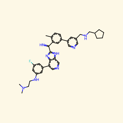 Cc1ccc(-c2cncc(CNCC3CCCC3)c2)cc1C(=N)c1nc2c(-c3cc(F)cc(NCCN(C)C)c3)cncc2[nH]1